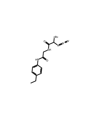 CCCCC(N=[N+]=[N-])C(=O)NCC(=O)Nc1ccc(CI)cc1